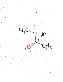 CCC(C)=O.[Ir]